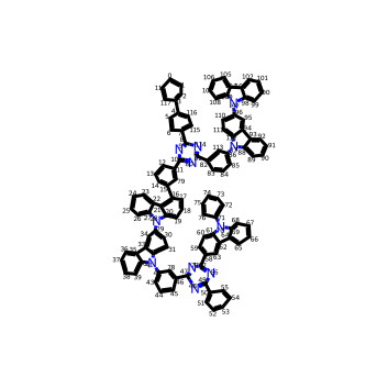 c1ccc(-c2ccc(-c3nc(-c4cccc(-c5cccc6c5c5ccccc5n6-c5ccc6c(c5)c5ccccc5n6-c5cccc(-c6nc(-c7ccccc7)nc(-c7ccc8c(c7)c7ccccc7n8-c7ccccc7)n6)c5)c4)nc(-c4cccc(-n5c6ccccc6c6cc(-n7c8ccccc8c8ccccc87)ccc65)c4)n3)cc2)cc1